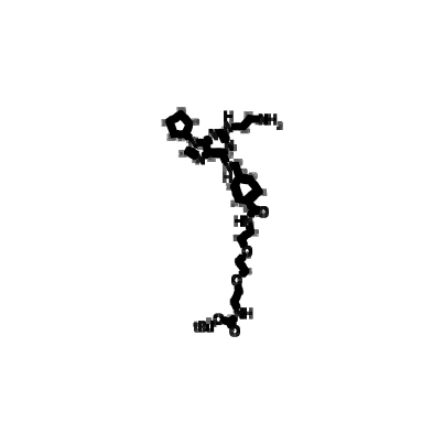 CC(C)(C)OC(=O)NCCOCCOCCNC(=O)c1ccc(CNc2nc(NCCN)nc3c2ncn3C2CCCC2)cc1